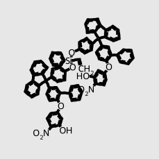 C=C[Si](Oc1ccc(C2(c3ccc(Oc4ccc([N+](=O)[O-])c(O)c4)c(-c4ccccc4)c3)c3ccccc3-c3ccccc32)cc1)(Oc1ccc(C2(c3ccc(Oc4ccc([N+](=O)[O-])c(O)c4)c(-c4ccccc4)c3)c3ccccc3-c3ccccc32)cc1)c1ccccc1